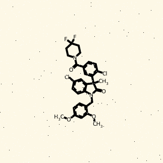 COc1ccc(CN2C(=O)C(C)(c3cc(C(=O)N4CCC(F)(F)CC4)ccc3Cl)c3cc(Cl)ccc32)c(OC)c1